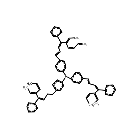 C=C/C=C\C(=C/C)C(=CC=Cc1ccc(N(c2ccc(C=CC=C(C(/C=C\C)=C/C)c3ccccc3)cc2)c2ccc(CCC=C(C(/C=C\C)=C/C)c3ccccc3)cc2)cc1)c1ccccc1